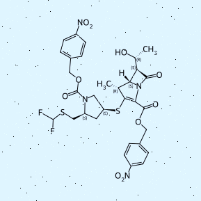 C[C@@H](O)[C@H]1C(=O)N2C(C(=O)OCc3ccc([N+](=O)[O-])cc3)=C(S[C@H]3C[C@@H](CSC(F)F)N(C(=O)OCc4ccc([N+](=O)[O-])cc4)C3)[C@H](C)[C@H]12